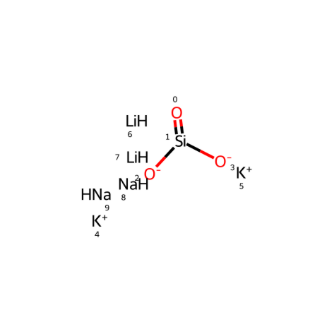 O=[Si]([O-])[O-].[K+].[K+].[LiH].[LiH].[NaH].[NaH]